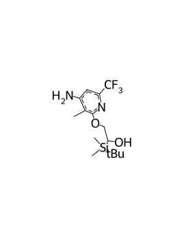 Cc1c(N)cc(C(F)(F)F)nc1OCC(O)[Si](C)(C)C(C)(C)C